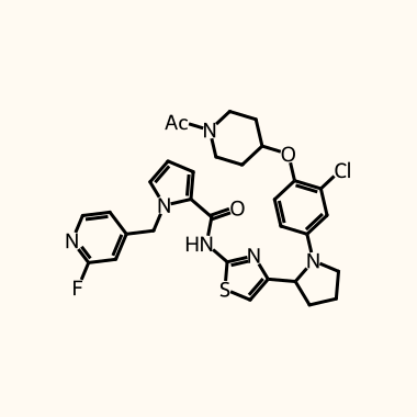 CC(=O)N1CCC(Oc2ccc(N3CCCC3c3csc(NC(=O)c4cccn4Cc4ccnc(F)c4)n3)cc2Cl)CC1